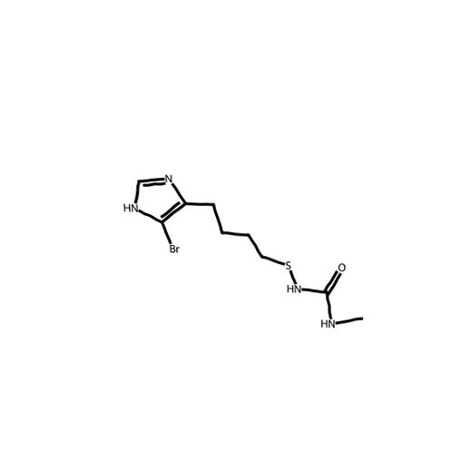 CNC(=O)NSCCCCc1nc[nH]c1Br